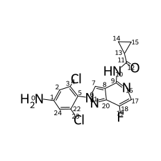 Nc1cc(Cl)c(-n2cc3c(NC(=O)C4CC4)ncc(F)c3n2)c(Cl)c1